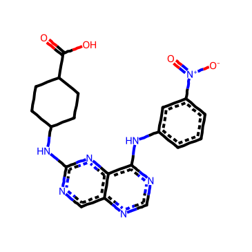 O=C(O)C1CCC(Nc2ncc3ncnc(Nc4cccc([N+](=O)[O-])c4)c3n2)CC1